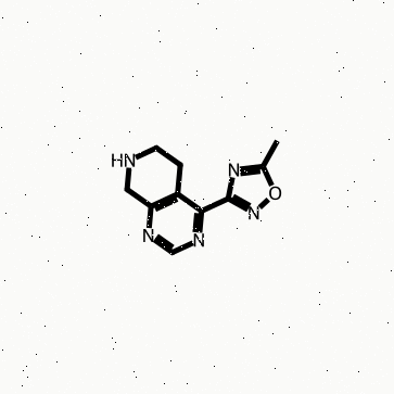 Cc1nc(-c2ncnc3c2CCNC3)no1